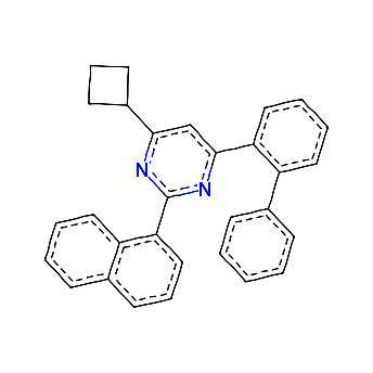 c1ccc(-c2ccccc2-c2cc(C3CCC3)nc(-c3cccc4ccccc34)n2)cc1